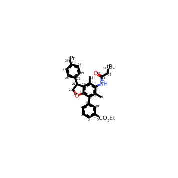 CCOC(=O)c1cccc(-c2c(C)c(NC(=O)CC(C)(C)C)c(C)c3c2OCC3c2ccc(C(C)C)cc2)c1